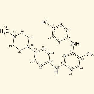 CC(C)c1ccc(Nc2nc(Nc3ccc(N4CCN(C)CC4)cc3)ncc2Cl)cc1